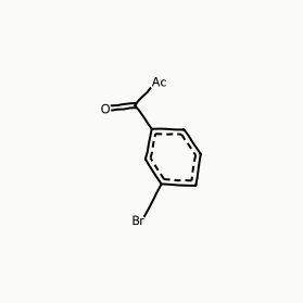 CC(=O)C(=O)c1cccc(Br)c1